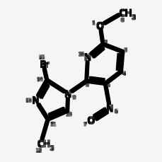 COc1ccc(N=O)c(-n2cc(C)nc2Br)n1